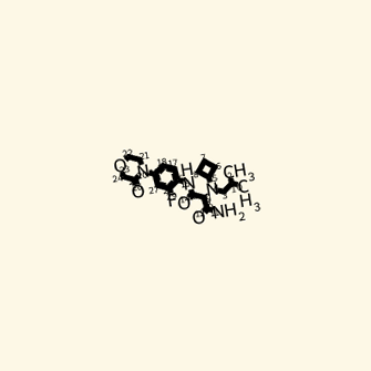 CC(C)CN(C1CCC1)[C@H](C(N)=O)C(=O)Nc1ccc(N2CCOCC2=O)cc1F